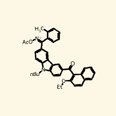 CCCCn1c2ccc(C(=O)c3c(OCC)ccc4ccccc34)cc2c2cc(/C(=N\OC(C)=O)c3ccccc3C)ccc21